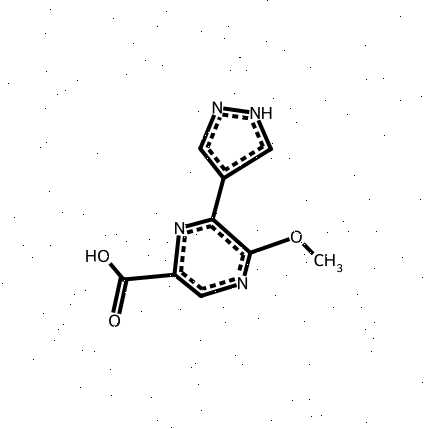 COc1ncc(C(=O)O)nc1-c1cn[nH]c1